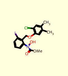 COC(=O)N(O)c1cccc(I)c1COc1cc(C)c(C)cc1Cl